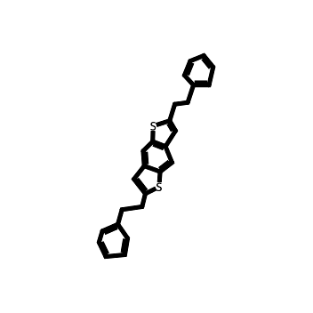 c1ccc(CCc2cc3cc4sc(CCc5ccccc5)cc4cc3s2)cc1